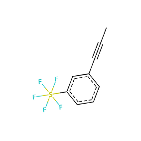 CC#Cc1cccc(S(F)(F)(F)(F)F)c1